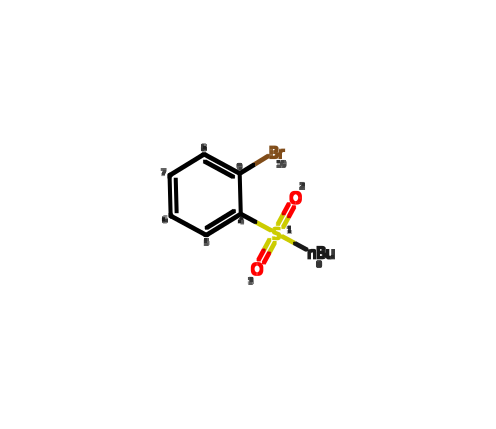 CCCCS(=O)(=O)c1ccccc1Br